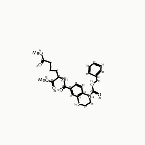 COC(=O)CCCC(NC(=O)c1ccc2c(c1)SCCN2C(=O)OCc1ccccc1)C(=O)OC